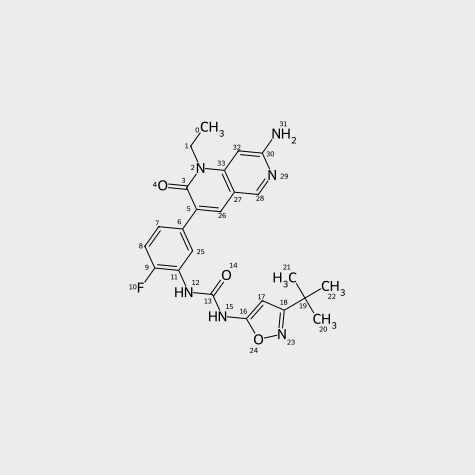 CCn1c(=O)c(-c2ccc(F)c(NC(=O)Nc3cc(C(C)(C)C)no3)c2)cc2cnc(N)cc21